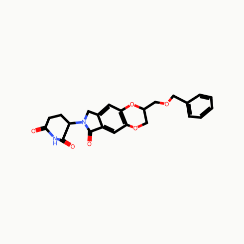 O=C1CCC(N2Cc3cc4c(cc3C2=O)OCC(COCc2ccccc2)O4)C(=O)N1